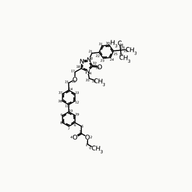 CCOC(=O)Cc1cccc(-c2ccc(COCc3nn(Cc4ccc(C(C)(C)C)cc4)c(=O)n3CC)cc2)c1